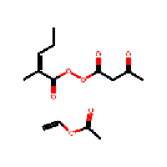 C=COC(C)=O.CCC=C(C)C(=O)OOC(=O)CC(C)=O